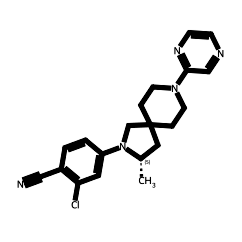 C[C@H]1CC2(CCN(c3cnccn3)CC2)CN1c1ccc(C#N)c(Cl)c1